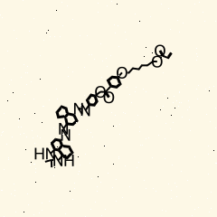 C=CC(=O)OCCCCCCOc1ccc(C(=O)Oc2ccc(/N=N/c3ccc(/N=N/c4ccc5c6c(cccc46)NC(C)(C)N5)c4ccccc34)cc2)cc1